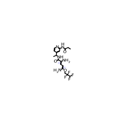 CCC(=O)Nc1cc(C(C)NC(=O)/C(N)=C/C=C(\N)OCC(F)(F)C(F)F)ccn1